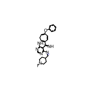 N=C(C1=CCC=C(Oc2ccccc2)C=C1)c1c(N)ncnc1/N=C\C1CCN(I)CC1